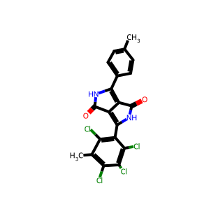 Cc1ccc(C2=C3C(=O)NC(c4c(Cl)c(C)c(Cl)c(Cl)c4Cl)=C3C(=O)N2)cc1